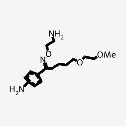 COCCOCCCCC(=NOCCN)c1ccc(N)cc1